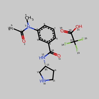 CC(C)C(=O)N(C)c1cccc(C(=O)N[C@@H]2CCNC2)c1.O=C(O)C(F)(F)F